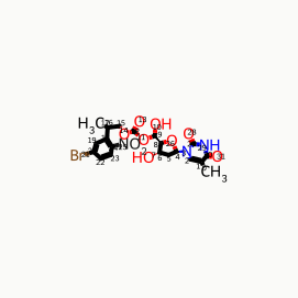 Cc1cn([C@H]2C[C@H](O)[C@@H](C(O)OC(=O)OCC(C)c3cc(Br)ccc3[N+](=O)[O-])O2)c(=O)[nH]c1=O